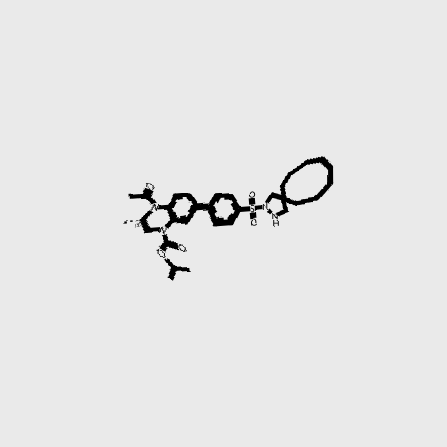 CC(=O)N1c2ccc(-c3ccc(S(=O)(=O)N4CC5(CCCCCCCC5)CN4)cc3)cc2N(C(=O)OC(C)C)C[C@@H]1C